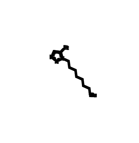 CCc1cnnn1CCCCCCCC(C)(C)C